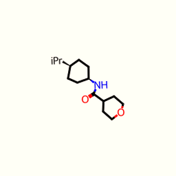 CC(C)[C@H]1CC[C@@H](NC(=O)C2CCOCC2)CC1